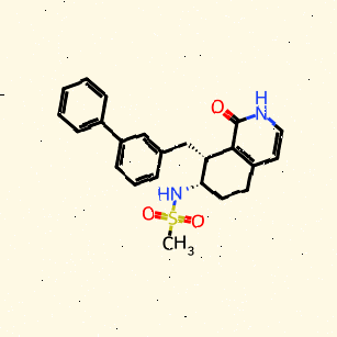 CS(=O)(=O)N[C@H]1CCc2cc[nH]c(=O)c2[C@H]1Cc1cccc(-c2ccccc2)c1